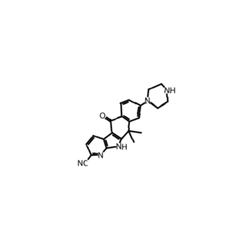 CC1(C)c2cc(N3CCNCC3)ccc2C(=O)c2c1[nH]c1nc(C#N)ccc21